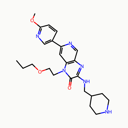 CCCOCCn1c(=O)c(NCC2CCNCC2)nc2cnc(-c3ccc(OC)nc3)cc21